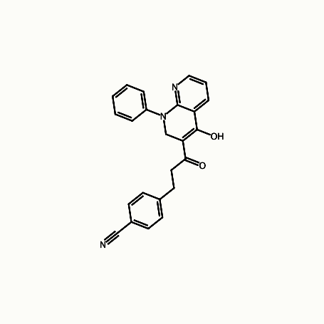 N#Cc1ccc(CCC(=O)C2=C(O)c3cccnc3N(c3ccccc3)C2)cc1